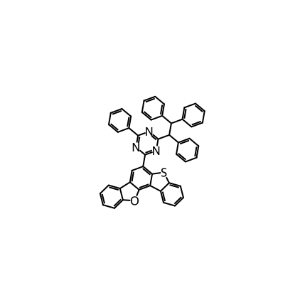 c1ccc(-c2nc(-c3cc4c5ccccc5oc4c4c3sc3ccccc34)nc(C(c3ccccc3)C(c3ccccc3)c3ccccc3)n2)cc1